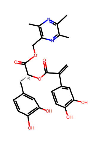 C=C(C(=O)O[C@H](Cc1ccc(O)c(O)c1)C(=O)OCc1nc(C)c(C)nc1C)c1ccc(O)c(O)c1